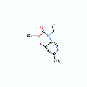 Cc1cc(I)c(N(CC(F)(F)F)C(=O)OC(C)(C)C)cn1